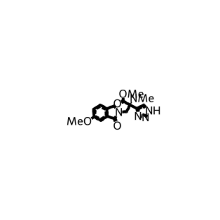 CN[C@](CN1Cc2ccc(OC)cc2C1=O)(C(=O)OC)c1c[nH]nn1